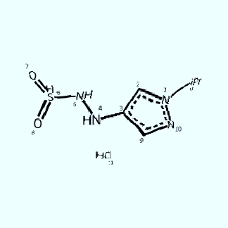 CC(C)n1cc(NN[SH](=O)=O)cn1.Cl